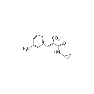 O=C(O)/C(=C\c1cccc(C(F)(F)F)c1)C(=O)NC1CC1